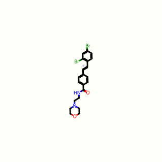 O=C(NCCN1CCOCC1)c1ccc(/C=C/c2ccc(Br)cc2Br)cc1